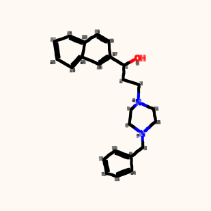 OC(CCN1CCN(Cc2ccccc2)CC1)c1ccc2ccccc2c1